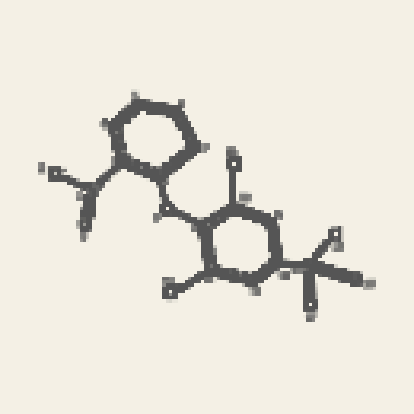 O=[N+]([O-])c1ccccc1Oc1c(Cl)cc(S(=O)(=O)Cl)cc1Cl